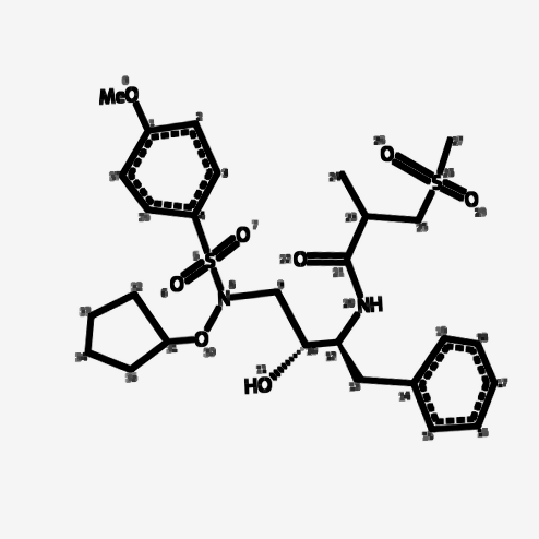 COc1ccc(S(=O)(=O)N(C[C@@H](O)[C@H](Cc2ccccc2)NC(=O)C(C)CS(C)(=O)=O)OC2CCCC2)cc1